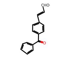 O=[C]/C=C/c1ccc(C(=O)c2ccccc2)cc1